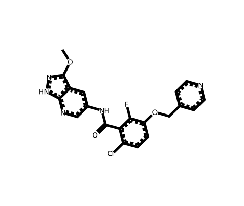 COc1n[nH]c2ncc(NC(=O)c3c(Cl)ccc(OCc4ccncc4)c3F)cc12